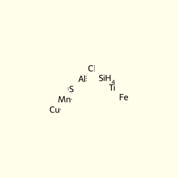 [Al].[C].[Cu].[Fe].[Mn].[S].[SiH4].[Ti]